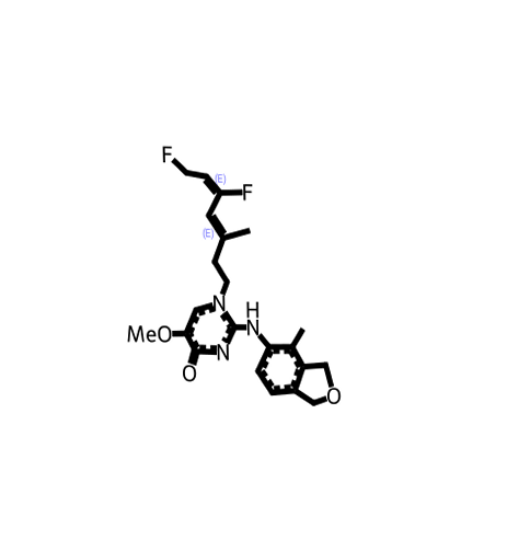 COc1cn(CC/C(C)=C/C(F)=C\CF)c(Nc2ccc3c(c2C)COC3)nc1=O